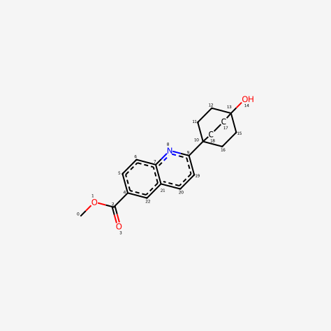 COC(=O)c1ccc2nc(C34CCC(O)(CC3)CC4)ccc2c1